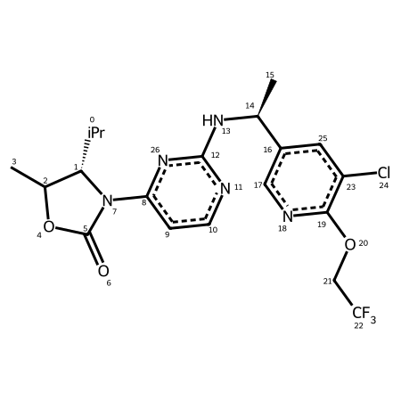 CC(C)[C@H]1C(C)OC(=O)N1c1ccnc(N[C@@H](C)c2cnc(OCC(F)(F)F)c(Cl)c2)n1